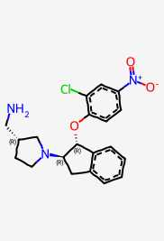 NC[C@H]1CCN([C@@H]2Cc3ccccc3[C@H]2Oc2ccc([N+](=O)[O-])cc2Cl)C1